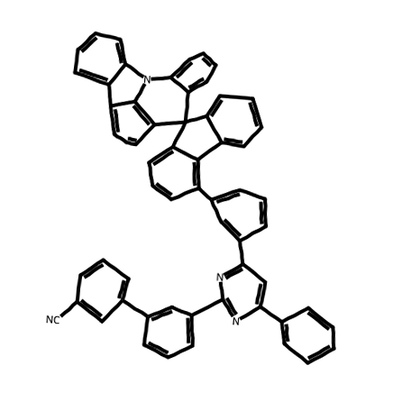 N#Cc1cccc(-c2cccc(-c3nc(-c4ccccc4)cc(-c4cccc(-c5cccc6c5-c5ccccc5C65c6ccccc6-n6c7ccccc7c7cccc5c76)c4)n3)c2)c1